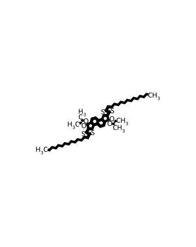 CCCCCCCCCCCCc1cc2sc3c(c2s1)C(OCC)(OCC)c1ccc2c4c(ccc2c1-3)C(OCC)(OCC)c1c-4sc2cc(CCCCCCCCCCCC)sc12